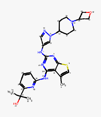 Cc1csc2nc(Nc3cnn(C4CCN(C5COC5)CC4)c3)nc(Nc3cccc(C(C)(C)O)n3)c12